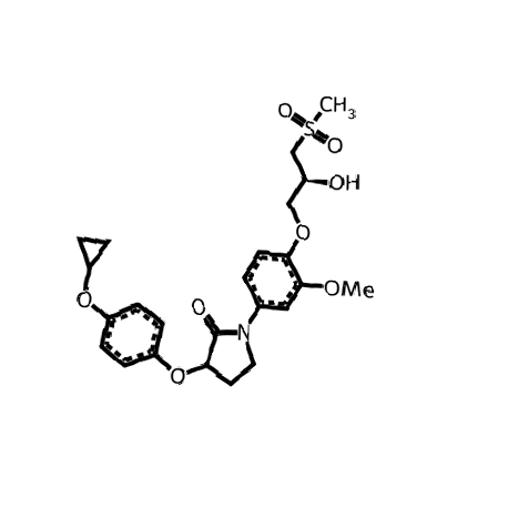 COc1cc(N2CCC(Oc3ccc(OC4CC4)cc3)C2=O)ccc1OC[C@H](O)CS(C)(=O)=O